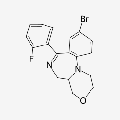 Fc1ccccc1C1=NCC2COCCN2c2ccc(Br)cc21